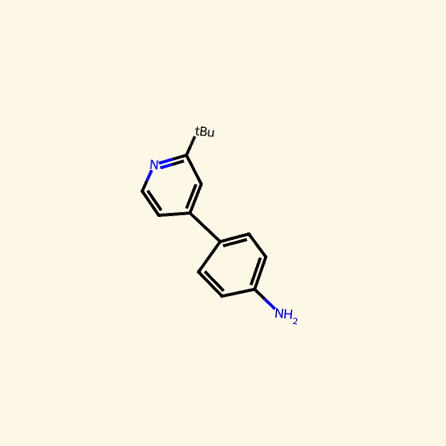 CC(C)(C)c1cc(-c2ccc(N)cc2)ccn1